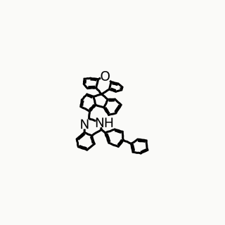 c1ccc(-c2ccc(C3NC(c4cccc5c4-c4ccccc4C54c5ccccc5Oc5ccccc54)=Nc4ccccc43)cc2)cc1